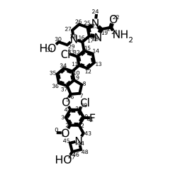 COc1cc(OC2CCc3c(-c4cccc(C5c6nc(C(N)=O)n(C)c6CCN5CCO)c4Cl)cccc32)c(Cl)c(F)c1CN1CC(O)C1